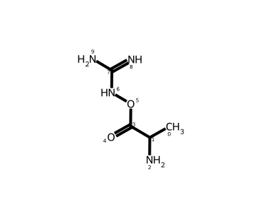 CC(N)C(=O)ONC(=N)N